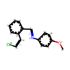 COc1ccc(/N=C/c2ccccc2/C=C\Cl)cc1